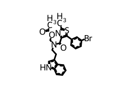 CC(=O)OCN(CCc1c[nH]c2ccccc12)C(=O)c1nc(C)sc1-c1cccc(Br)c1